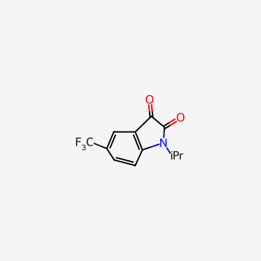 CC(C)N1C(=O)C(=O)c2cc(C(F)(F)F)ccc21